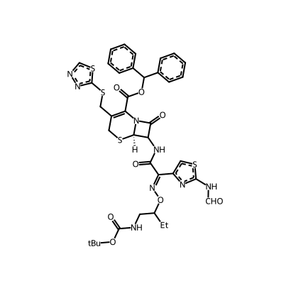 CCC(CNC(=O)OC(C)(C)C)O/N=C(/C(=O)NC1C(=O)N2C(C(=O)OC(c3ccccc3)c3ccccc3)=C(CSc3nncs3)CS[C@H]12)c1csc(NC=O)n1